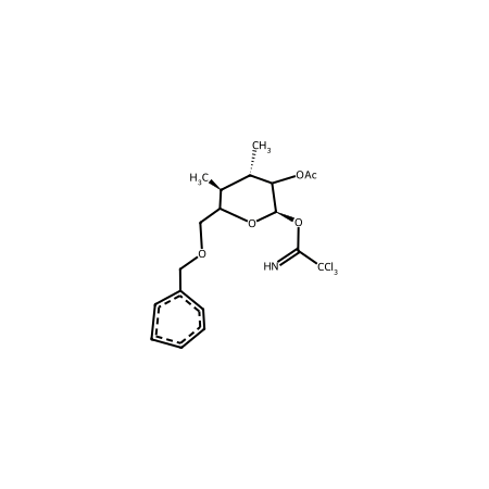 CC(=O)OC1[C@@H](OC(=N)C(Cl)(Cl)Cl)OC(COCc2ccccc2)[C@@H](C)[C@@H]1C